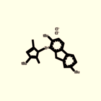 CC1=CC(C(C)(C)C)=C(C)[CH]1[Zr+2][c]1c(C(C)(C)C)ccc2c1Cc1cc(C(C)(C)C)ccc1-2.[Cl-].[Cl-]